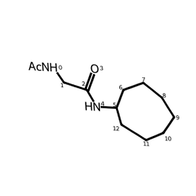 CC(=O)NCC(=O)NC1CCCCCCC1